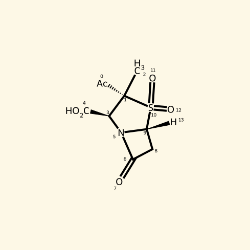 CC(=O)[C@@]1(C)[C@H](C(=O)O)N2C(=O)C[C@H]2S1(=O)=O